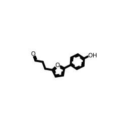 O=CCCc1ccc(-c2ccc(O)cc2)o1